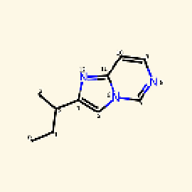 CCC(C)c1cn2cnccc2n1